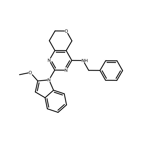 COc1cc2ccccc2n1-c1nc2c(c(NCc3ccccc3)n1)COCC2